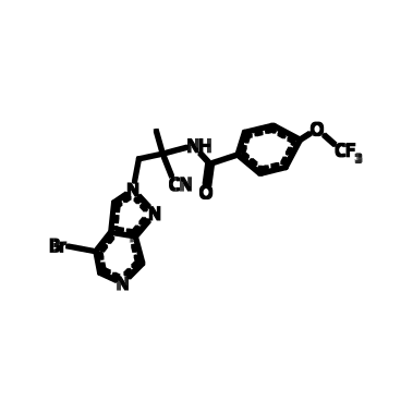 CC(C#N)(Cn1cc2c(Br)cncc2n1)NC(=O)c1ccc(OC(F)(F)F)cc1